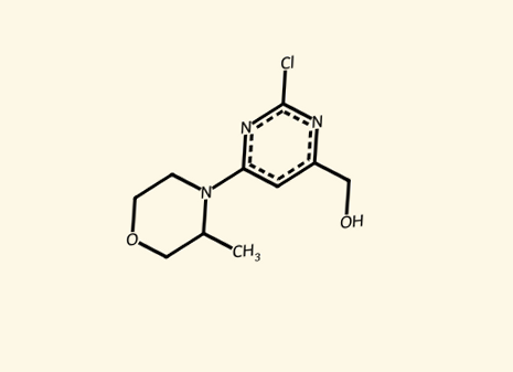 CC1COCCN1c1cc(CO)nc(Cl)n1